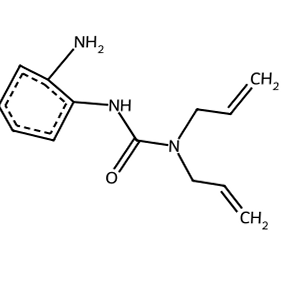 C=CCN(CC=C)C(=O)Nc1ccccc1N